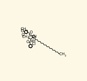 CCCCCCCCCCCCCCCCCCn1ncc2c1C(NC(=O)c1ccccc1Cl)CCN2C(=O)c1ccc(OC)c(OC)c1